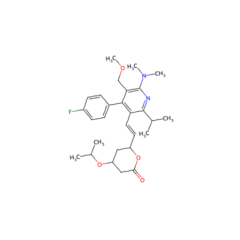 COCc1c(N(C)C)nc(C(C)C)c(/C=C/C2CC(OC(C)C)CC(=O)O2)c1-c1ccc(F)cc1